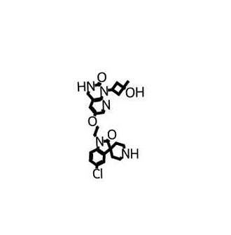 CC1(O)CC(N2C(=O)NCc3cc(OCCN4C(=O)C5(CCNCC5)c5cc(Cl)ccc54)cnc32)C1